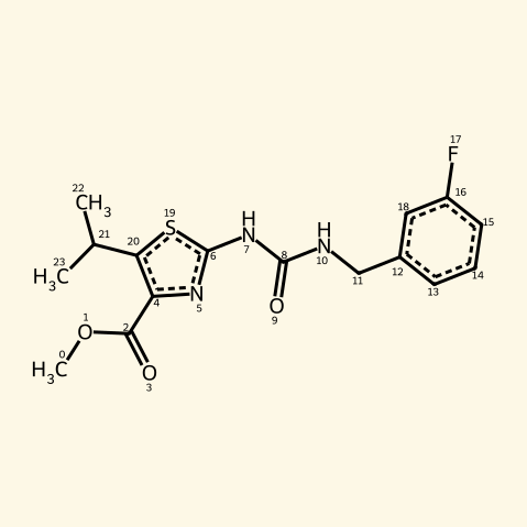 COC(=O)c1nc(NC(=O)NCc2cccc(F)c2)sc1C(C)C